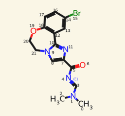 CN(C)/C=N/C(=O)c1cn2c(n1)-c1cc(Br)ccc1OCC2